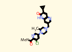 CNC(=O)c1ncc(N2CCN(Cc3cnc4cc(C5CC5)c(=O)[nH]c4c3)CC2C)cc1Cl